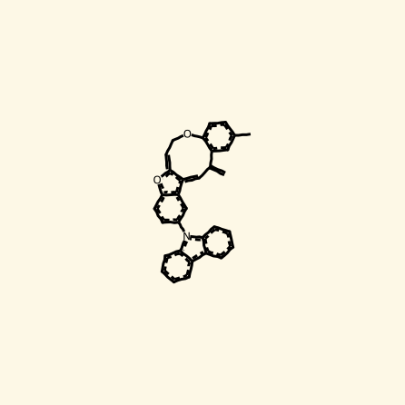 C=C1/C=c2\c(oc3ccc(-n4c5ccccc5c5ccccc54)cc23)=C/COc2ccc(C)cc21